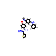 CC(=O)N(Oc1ccc(NC(=N)c2cccs2)cc1)c1ccc(Nc2ccccc2)cc1